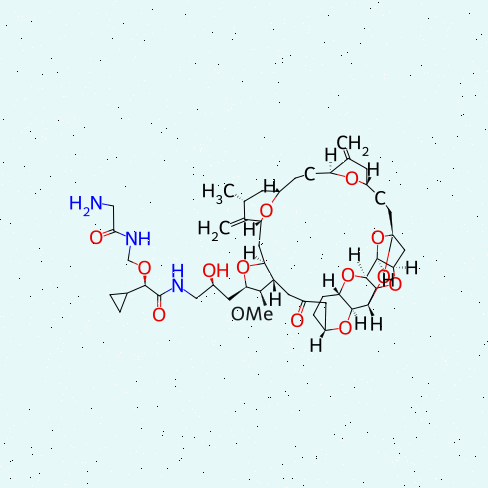 C=C1C[C@@H]2CC[C@@]34C[C@H]5OC6[C@@H](O[C@H]7CC[C@H](CC(=O)C[C@@H]8[C@@H](OC)[C@@H](C[C@H](O)CNC(=O)[C@H](OCNC(=O)CN)C9CC9)O[C@H]8C[C@H]8O[C@@H](CC[C@@H]1O2)C[C@@H](C)C8=C)O[C@@H]7[C@@H]6O3)[C@H]5O4